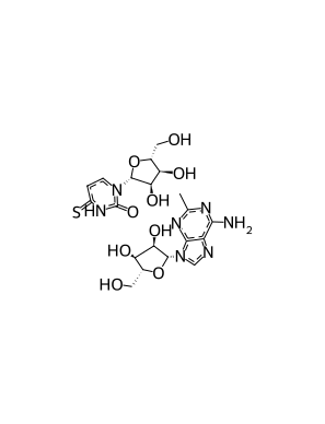 Cc1nc(N)c2ncn([C@@H]3O[C@H](CO)[C@@H](O)[C@H]3O)c2n1.O=c1[nH]c(=S)ccn1[C@@H]1O[C@H](CO)[C@@H](O)[C@H]1O